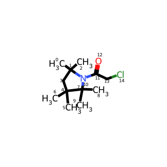 CC1(C)CC(C)(C)C(C)(C)N1C(=O)CCl